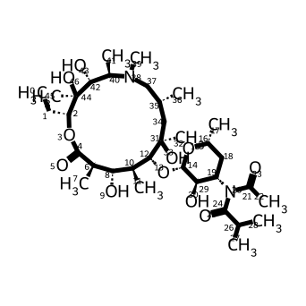 CC[C@H]1OC(=O)[C@H](C)[C@@H](O)[C@H](C)[C@@H](O[C@@H]2O[C@H](C)C[C@H](N(C(C)=O)C(=O)C(C)C)[C@H]2O)[C@](C)(O)C[C@@H](C)CN(C)[C@H](C)[C@@H](O)[C@]1(C)O